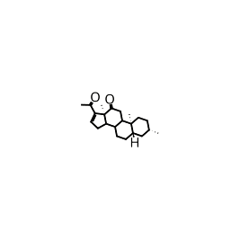 CC(=O)C1=CCC2C3CC[C@H]4C[C@@H](C)CC[C@]4(C)C3CC(=O)[C@]12C